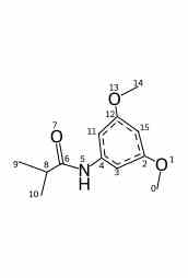 COc1cc(NC(=O)C(C)C)cc(OC)c1